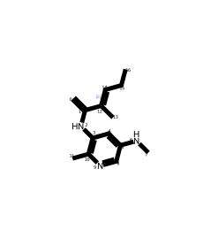 C=C(Nc1cc(NC)cnc1C)/C(C)=C/CC